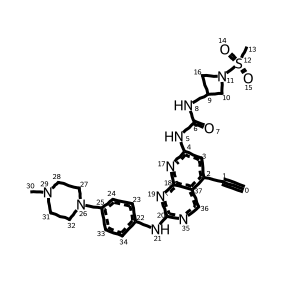 C#Cc1cc(NC(=O)NC2CN(S(C)(=O)=O)C2)nc2nc(Nc3ccc(N4CCN(C)CC4)cc3)ncc12